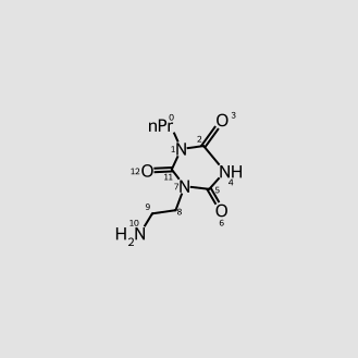 CCCn1c(=O)[nH]c(=O)n(CCN)c1=O